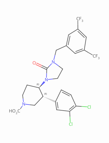 O=C(O)N1CC[C@@H](N2CCN(Cc3cc(C(F)(F)F)cc(C(F)(F)F)c3)C2=O)[C@H](c2ccc(Cl)c(Cl)c2)C1